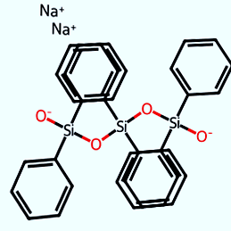 [Na+].[Na+].[O-][Si](O[Si](O[Si]([O-])(c1ccccc1)c1ccccc1)(c1ccccc1)c1ccccc1)(c1ccccc1)c1ccccc1